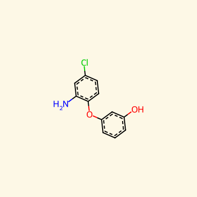 Nc1cc(Cl)ccc1Oc1cccc(O)c1